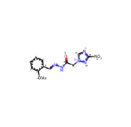 COc1ccccc1/C=N/NC(=O)Cn1cnc([N+](=O)[O-])n1